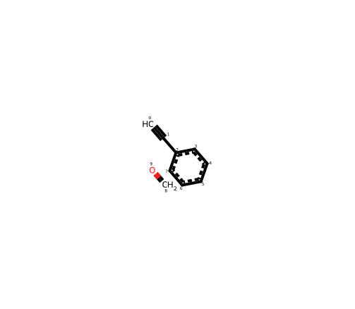 C#Cc1ccccc1.C=O